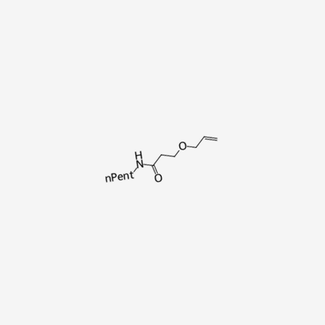 C=CCOCCC(=O)NCCCCC